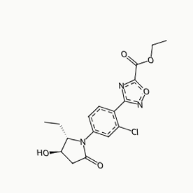 CCOC(=O)c1nc(-c2ccc(N3C(=O)C[C@@H](O)[C@@H]3CC)cc2Cl)no1